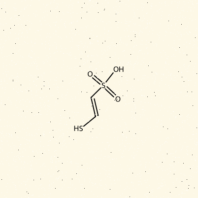 O=S(=O)(O)C=CS